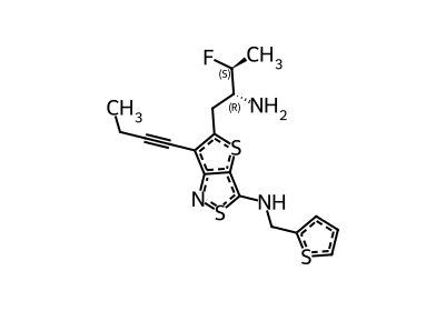 CCC#Cc1c(C[C@@H](N)[C@H](C)F)sc2c(NCc3cccs3)snc12